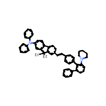 CCC1(CC)c2cc(/C=C/c3ccc(-c4c(-c5ccccc5)cccc4N4CCCCC4)cc3)ccc2-c2ccc(N(c3ccccc3)c3ccccc3)cc21